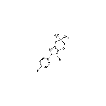 CC1(C)COc2c(Br)c(-c3ccc(F)cc3)nn2C1